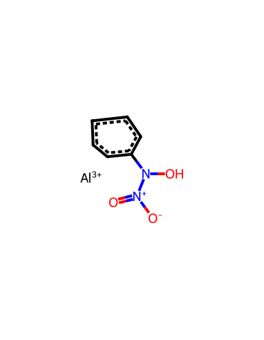 O=[N+]([O-])N(O)c1ccccc1.[Al+3]